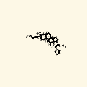 C=C(Cn1ccnc1)[C@H]1CC[C@H]2[C@@H]3CC[C@@H]4C[C@@](O)(C#CCCO)CC[C@@H]4C3CC[C@]12C